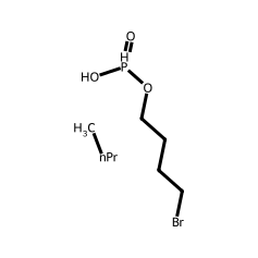 CCCC.O=[PH](O)OCCCCBr